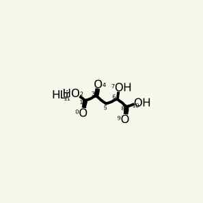 O=C(O)C(=O)CC(O)C(=O)O.[LiH]